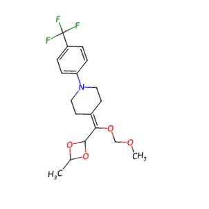 COCOC(=C1CCN(c2ccc(C(F)(F)F)cc2)CC1)C1OC(C)O1